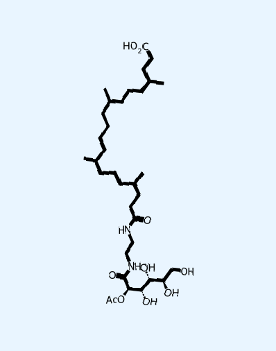 CC(=O)O[C@@H](C(=O)NCCNC(=O)CCC(C)CCCC(C)CCCCC(C)CCCC(C)CCC(=O)O)[C@@H](O)[C@H](O)[C@H](O)CO